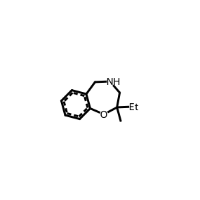 CCC1(C)CNCc2ccccc2O1